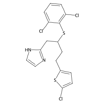 Clc1ccc(CCC(Cc2ncc[nH]2)Sc2c(Cl)cccc2Cl)s1